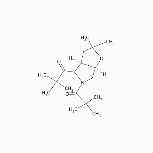 CC1(C)C[C@@H]2C(C(=O)C(C)(C)C)N(C(=O)C(C)(C)C)C[C@@H]2O1